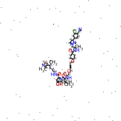 C=C/C(=C\C=C\CNC(=O)[C@@H]1C[C@@H](O)CN1C(=O)[C@@H](NC(=O)COCC#CCOc1ccc(C(=O)NC(C)Cn2ccc(-c3ccc(C#N)c(Cl)c3)n2)cc1)C(C)(C)C)c1scnc1C